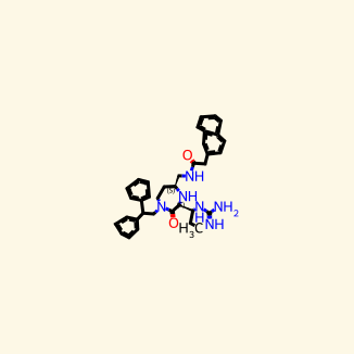 CCC(NC(=N)N)[C@@H]1N[C@H](CNC(=O)Cc2ccc3ccccc3c2)CCN(CC(c2ccccc2)c2ccccc2)C1=O